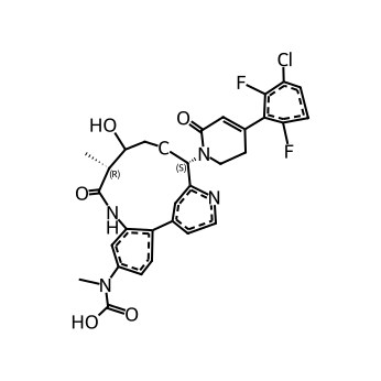 C[C@H]1C(=O)Nc2cc(N(C)C(=O)O)ccc2-c2ccnc(c2)[C@@H](N2CCC(c3c(F)ccc(Cl)c3F)=CC2=O)CCC1O